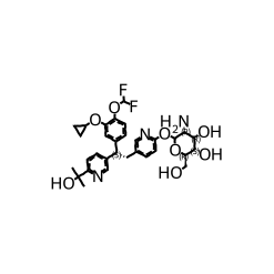 CC(C)(O)c1ccc([C@@H](Cc2ccc(OC3O[C@H](CO)[C@@H](O)[C@H](O)[C@H]3N)nc2)c2ccc(OC(F)F)c(OC3CC3)c2)cn1